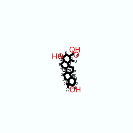 CC1C(C(=O)O)CC(O)[C@]2(C)CC[C@]3(C)C(=CCC4[C@@]5(C)CCC(O)C(C)(C)C5CC[C@]43C)C12